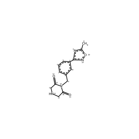 Cc1nc(-c2cccc(CN3C(=O)CNCC3=O)c2)no1